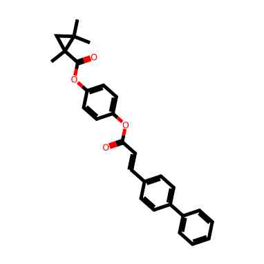 CC1(C)CC1(C)C(=O)Oc1ccc(OC(=O)/C=C/c2ccc(-c3ccccc3)cc2)cc1